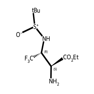 CCOC(=O)[C@@H](N)[C@@H](N[S+]([O-])C(C)(C)C)C(F)(F)F